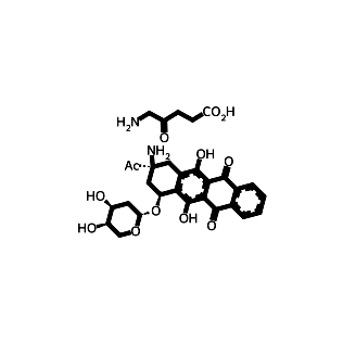 CC(=O)[C@]1(N)Cc2c(O)c3c(c(O)c2[C@@H](O[C@H]2C[C@H](O)[C@H](O)CO2)C1)C(=O)c1ccccc1C3=O.NCC(=O)CCC(=O)O